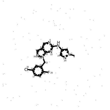 Cn1cc(Nc2ncc3cnn(Cc4cc(Cl)ccc4F)c3n2)cn1